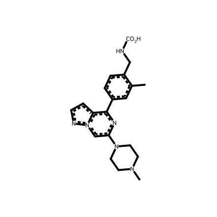 Cc1cc(-c2nc(N3CCN(C)CC3)cn3nccc23)ccc1CNC(=O)O